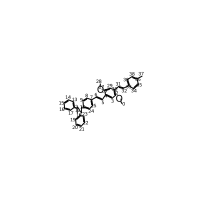 COc1cc(/C=C/c2ccc(N(c3ccccc3)c3ccccc3)cc2)c(OC)cc1/C=C/c1ccc(C)cc1